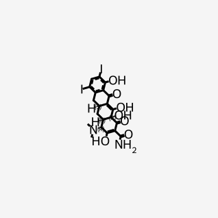 CN(C)[C@H]1C(O)=C(C(N)=O)C(=O)[C@]2(O)C(O)=C3C(=O)c4c(O)c(I)cc(I)c4C[C@@H]3C[C@H]12